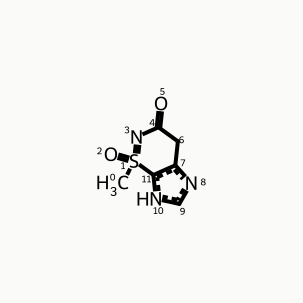 CS1(=O)=NC(=O)Cc2nc[nH]c21